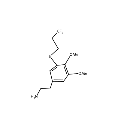 COc1cc(CCN)cc(SCCC(F)(F)F)c1OC